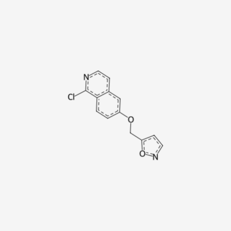 Clc1nccc2cc(OCc3ccno3)ccc12